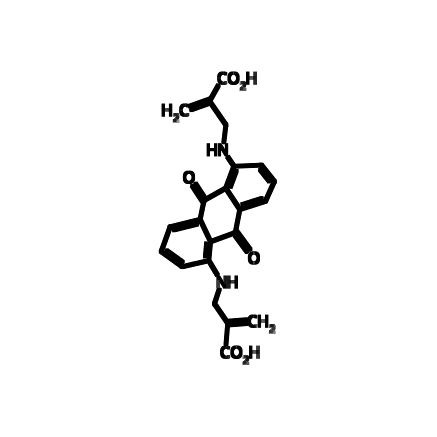 C=C(CNc1cccc2c1C(=O)c1cccc(NCC(=C)C(=O)O)c1C2=O)C(=O)O